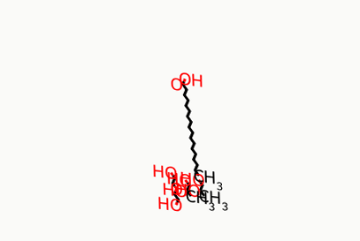 CC(O)CO.CC(O)CO.CCCCCCCCCCCCCCCCCC(=O)O.OCCOCCO